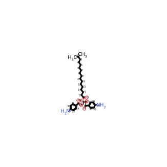 CC(C)CCCCCCCCCCCCCCC(=O)[O][Ti](=[O])([O]C(=O)c1ccc(N)cc1)[C](=O)c1ccc(N)cc1